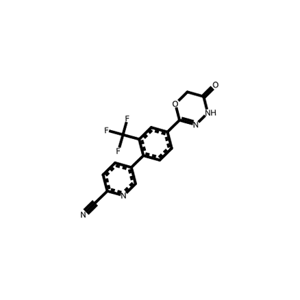 N#Cc1ccc(-c2ccc(C3=NNC(=O)CO3)cc2C(F)(F)F)cn1